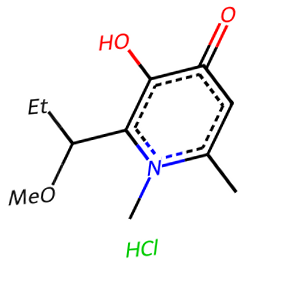 CCC(OC)c1c(O)c(=O)cc(C)n1C.Cl